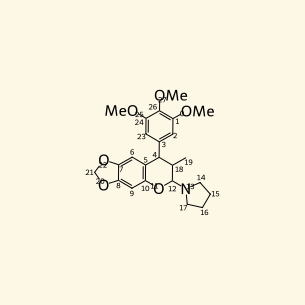 COc1cc(C2c3cc4c(cc3OC(N3CCCC3)C2C)OCO4)cc(OC)c1OC